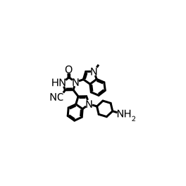 Cn1cc(-n2c(-c3cn(C4CCC(N)CC4)c4ccccc34)c(C#N)[nH]c2=O)c2ccccc21